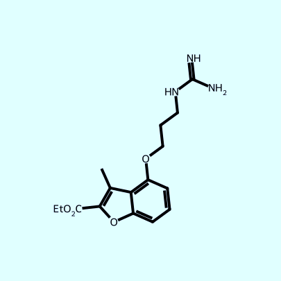 CCOC(=O)c1oc2cccc(OCCCNC(=N)N)c2c1C